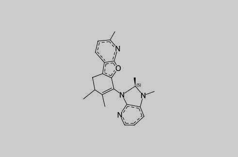 CC1=C(N2c3ncccc3N(C)[C@@H]2C)c2oc3nc(C)ccc3c2CC1C